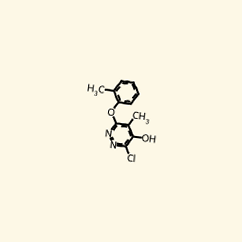 Cc1ccccc1Oc1nnc(Cl)c(O)c1C